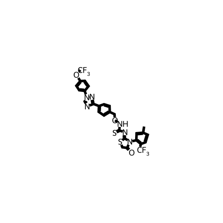 Cc1ccc(C(F)(F)F)c(N2C(=O)CS/C2=N\C(=S)NOCc2ccc(-c3ncn(-c4ccc(OC(F)(F)F)cc4)n3)cc2)c1